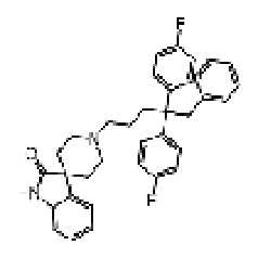 O=C1Nc2ccccc2C12CCN(CCCC(Cc1ccccc1)(c1ccc(F)cc1)c1ccc(F)cc1)CC2